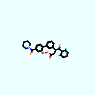 CC(C)(C)OC(=O)CC(C(=O)c1c(F)cccc1F)c1cccc(-c2ccc(C(=O)N3CCCCC3)cc2)c1